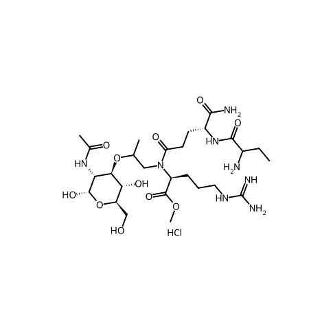 CCC(N)C(=O)N[C@H](CCC(=O)N(CC(C)O[C@H]1[C@H](O)[C@@H](CO)O[C@H](O)[C@@H]1NC(C)=O)[C@@H](CCCNC(=N)N)C(=O)OC)C(N)=O.Cl